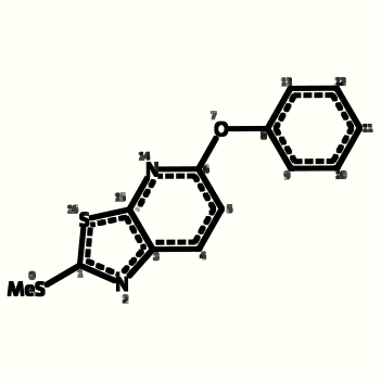 CSc1nc2ccc(Oc3ccccc3)nc2s1